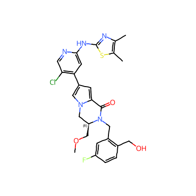 COC[C@H]1Cn2cc(-c3cc(Nc4nc(C)c(C)s4)ncc3Cl)cc2C(=O)N1Cc1cc(F)ccc1CO